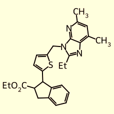 CCOC(=O)C1Cc2ccccc2C1c1ccc(Cn2c(CC)nc3c(C)cc(C)nc32)s1